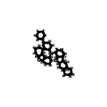 c1ccc(-c2ccc(N(c3cncc4c3oc3cc5ccccc5cc34)c3cccc4oc5ccccc5c34)cc2)cc1